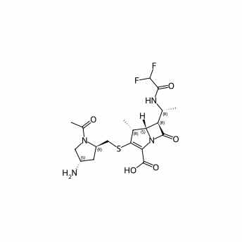 CC(=O)N1C[C@@H](N)C[C@@H]1CSC1=C(C(=O)O)N2C(=O)[C@H]([C@@H](C)NC(=O)C(F)F)[C@H]2[C@H]1C